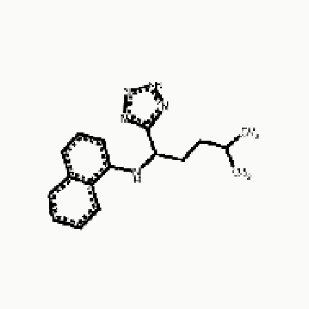 CC(C)CCC(Nc1cccc2ccccc12)c1nn[nH]n1